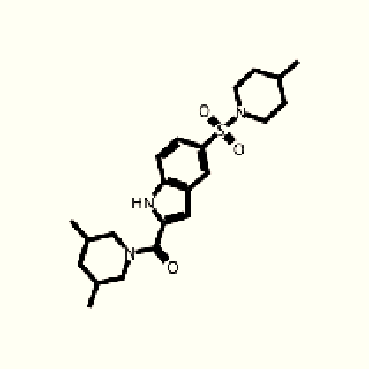 CC1CCN(S(=O)(=O)c2ccc3[nH]c(C(=O)N4CC(C)CC(C)C4)cc3c2)CC1